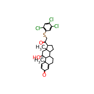 CC12C=CC(=O)C=C1CCC1C2[C@@H](O)CC2(C)C(C(=O)CSc3cc(Cl)c(Cl)cc3Cl)CCC12